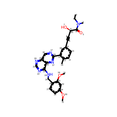 CCN(C)C(=O)[C@H](O)C#Cc1ccc(C)c(-c2ncc3ncnc(NCc4ccc(OC)cc4OC)c3n2)c1